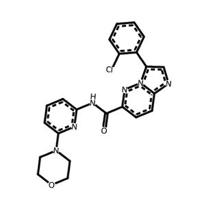 O=C(Nc1cccc(N2CCOCC2)n1)c1ccc2ncc(-c3ccccc3Cl)n2n1